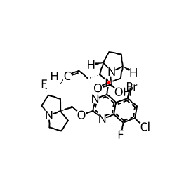 C=CC[C@@H]1[C@@H]2CC[C@H](CN1c1nc(OC[C@@]34CCCN3C[C@H](F)C4)nc3c(F)c(Cl)cc(Br)c13)N2C(=O)O